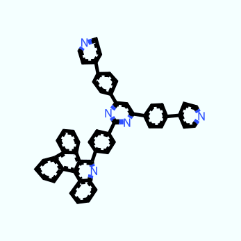 c1ccc2c(c1)nc(-c1ccc(-c3nc(-c4ccc(-c5ccncc5)cc4)cc(-c4ccc(-c5ccncc5)cc4)n3)cc1)c1c3ccccc3c3ccccc3c21